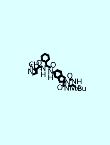 CNC(=O)C1(N2CC(C(C)(C)C)NC2=O)Cc2ccc(NC(=O)[C@@H](NC(=O)c3ccnn3C)C3CCCCC3)cc2C1